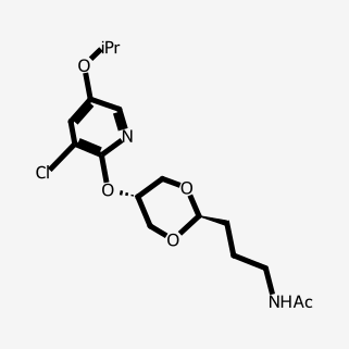 CC(=O)NCCC[C@H]1OC[C@H](Oc2ncc(OC(C)C)cc2Cl)CO1